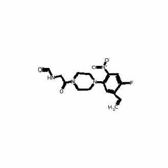 C=Cc1cc(N2CCN(C(=O)CNC=O)CC2)c([N+](=O)[O-])cc1F